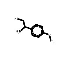 NC(CS)c1ccc(OC(F)(F)F)cc1